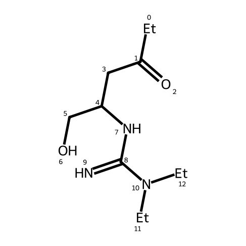 CCC(=O)CC(CO)NC(=N)N(CC)CC